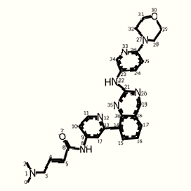 CN(C)CC=CC(=O)Nc1ccnc(-c2cccc3cnc(Nc4ccc(N5CCOCC5)nc4)nc23)c1